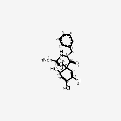 CCCCCCCCCC(=O)N[C@@H](Cc1ccccc1)C(=O)C1(Cl)C=C(Cl)C(Cl)=CC1O